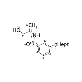 CCCCCCCc1cccc(C(=O)NC(C)CO)c1